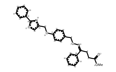 COC(=O)CCC(=NOCc1ccc(OCc2coc(-c3ccccc3)n2)cc1)c1ccccc1